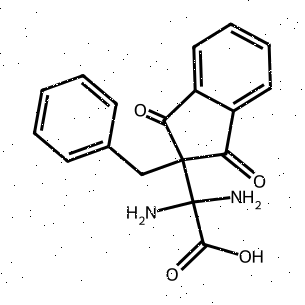 NC(N)(C(=O)O)C1(Cc2ccccc2)C(=O)c2ccccc2C1=O